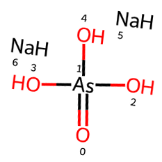 O=[As](O)(O)O.[NaH].[NaH]